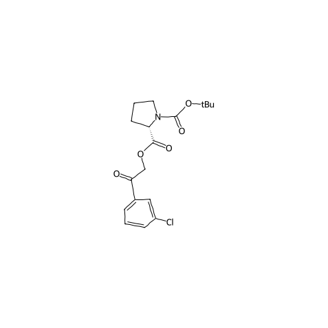 CC(C)(C)OC(=O)N1CCC[C@H]1C(=O)OCC(=O)c1cccc(Cl)c1